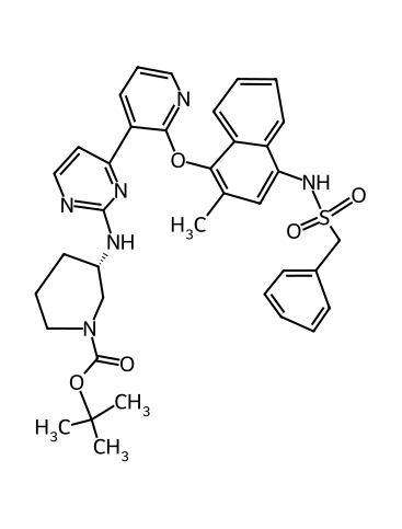 Cc1cc(NS(=O)(=O)Cc2ccccc2)c2ccccc2c1Oc1ncccc1-c1ccnc(N[C@H]2CCCN(C(=O)OC(C)(C)C)C2)n1